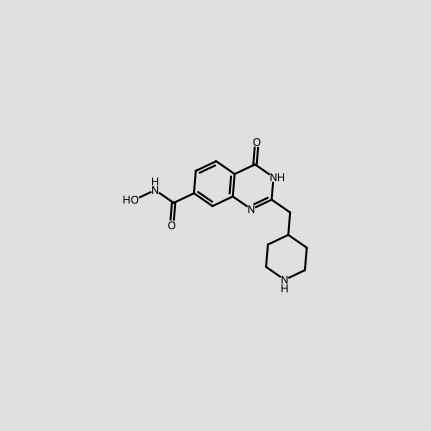 O=C(NO)c1ccc2c(=O)[nH]c(CC3CCNCC3)nc2c1